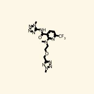 CN(CCOCc1nnn(C)n1)c1nc(C(F)(F)F)ccc1C(=O)Nc1nnnn1C